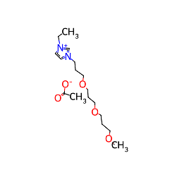 CC(=O)[O-].CC[n+]1ccn(CCCOCCCOCCCOC)c1